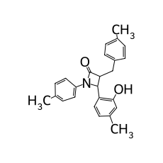 Cc1ccc(CC2C(=O)N(c3ccc(C)cc3)C2c2ccc(C)cc2O)cc1